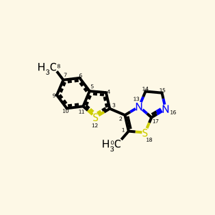 CC1=C(c2cc3cc(C)ccc3s2)N2CCN=C2S1